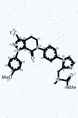 CNC(=O)N(C)Cc1nccn1-c1ccc(N2CCc3c(C(F)(F)F)nn(-c4ccc(OC)cc4)c3C2=O)cc1